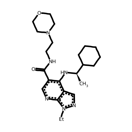 CCn1ncc2c(N[C@H](C)C3CCCCC3)c(C(=O)NCCN3CCOCC3)cnc21